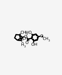 COc1cc(O)c(C(=O)OC2CC3CCC2(C)C3(C)C)c(O)c1